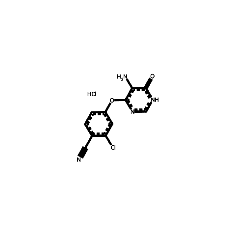 Cl.N#Cc1ccc(Oc2nc[nH]c(=O)c2N)cc1Cl